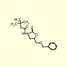 CC(C)(C)OC(=O)NN1CC(COCc2ccccc2)OC1=O